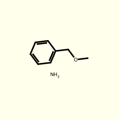 COCc1ccccc1.N